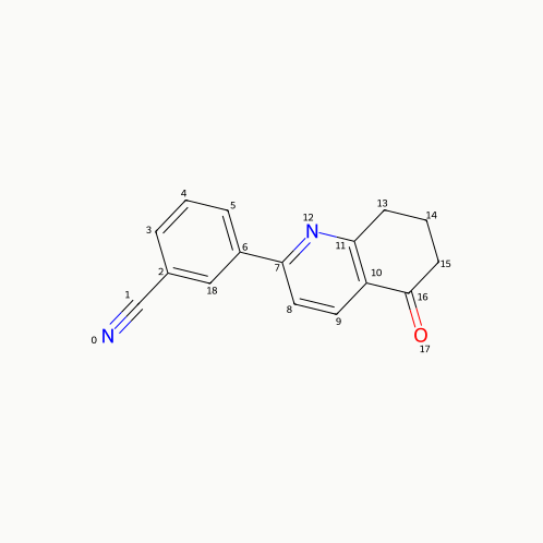 N#Cc1cccc(-c2ccc3c(n2)CCCC3=O)c1